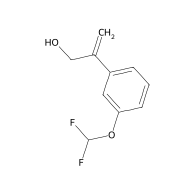 C=C(CO)c1cccc(OC(F)F)c1